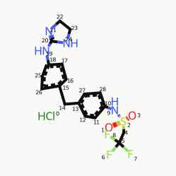 Cl.O=S(=O)(CC(F)(F)F)Nc1ccc(Cc2ccc(NC3=NCCN3)cc2)cc1